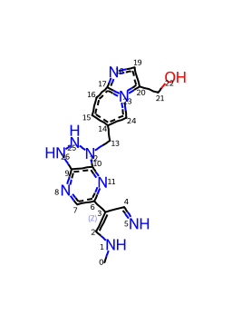 CN/C=C(\C=N)c1cnc2c(n1)N(Cc1ccc3ncc(CO)n3c1)NN2